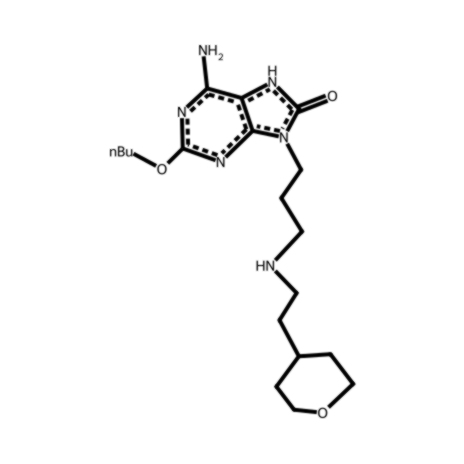 CCCCOc1nc(N)c2[nH]c(=O)n(CCCNCCC3CCOCC3)c2n1